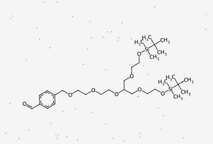 CC(C)(C)[Si](C)(C)OCCOCC(COCCO[Si](C)(C)C(C)(C)C)OCCOCCOCc1ccc(C=O)cc1